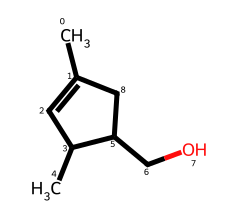 CC1=CC(C)C(CO)C1